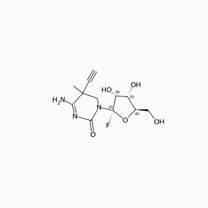 C#CC1(C)CN([C@]2(F)O[C@H](CO)[C@@H](O)[C@H]2O)C(=O)N=C1N